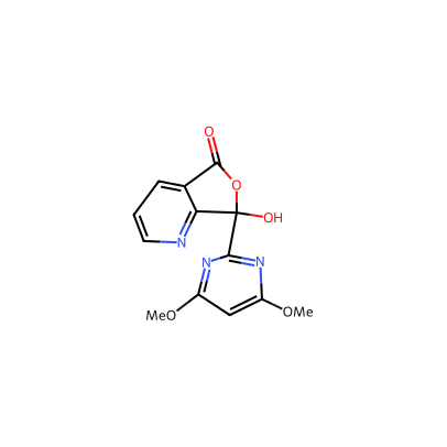 COc1cc(OC)nc(C2(O)OC(=O)c3cccnc32)n1